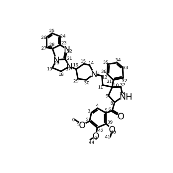 COc1ccc(C(=O)C2CC(CCN3CCC(N4CCn5c4nc4ccccc45)CC3)(c3ccccc3)CN2)c(OC)c1OC